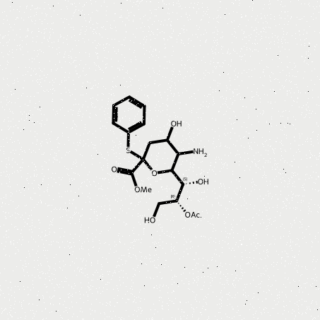 COC(=O)C1(Sc2ccccc2)CC(O)C(N)C([C@H](O)[C@@H](CO)OC(C)=O)O1